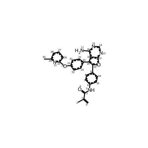 C=C(C)C(=O)Nc1ccc(-c2oc3ncnc(N)c3c2-c2ccc(Oc3cccc(C)n3)cc2)cc1